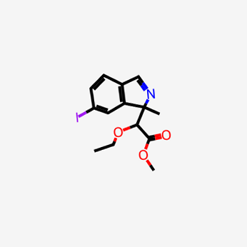 CCOC(C(=O)OC)C1(C)N=Cc2ccc(I)cc21